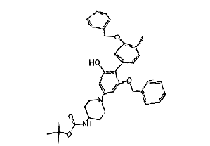 Cc1ccc(-c2c(O)cc(N3CCC(NC(=O)OC(C)(C)C)CC3)cc2OCc2ccccc2)cc1OCc1ccccc1